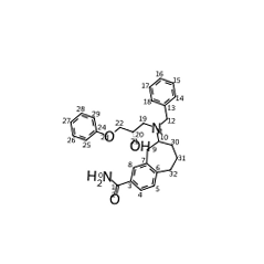 NC(=O)c1ccc2c(c1)CC(N(Cc1ccccc1)C[C@H](O)COc1ccccc1)CCC2